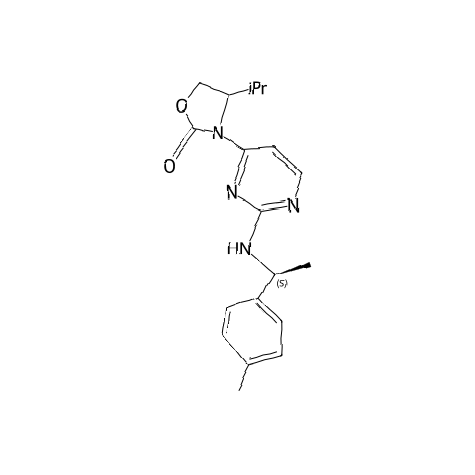 Cc1ccc([C@H](C)Nc2nccc(N3C(=O)OCC3C(C)C)n2)cc1